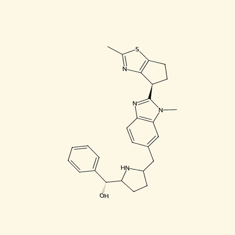 Cc1nc2c(s1)CC[C@H]2c1nc2ccc(CC3CCC([C@H](O)c4ccccc4)N3)cc2n1C